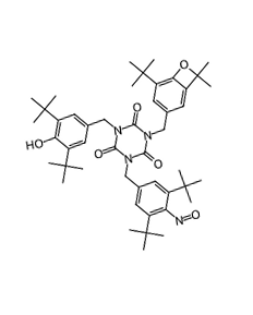 CC(C)(C)c1cc(Cn2c(=O)n(Cc3cc(C(C)(C)C)c(N=O)c(C(C)(C)C)c3)c(=O)n(Cc3cc(C(C)(C)C)c4c(c3)C(C)(C)O4)c2=O)cc(C(C)(C)C)c1O